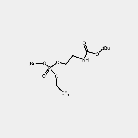 CC(C)(C)OC(=O)NCCOP(=O)(OCC(F)(F)F)OC(C)(C)C